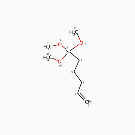 [CH]=CCCC[Si](OC)(OC)OC